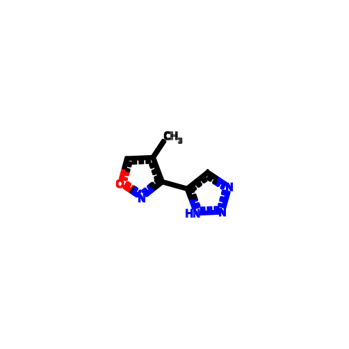 Cc1conc1-c1[c]nn[nH]1